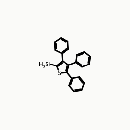 [SiH3]c1sc(-c2ccccc2)c(-c2ccccc2)c1-c1ccccc1